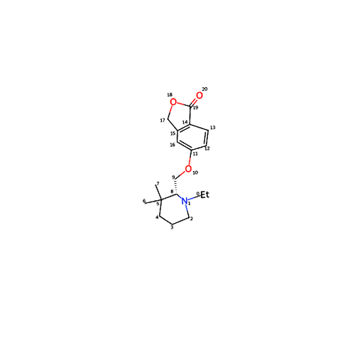 CCN1CCCC(C)(C)[C@@H]1COc1ccc2c(c1)COC2=O